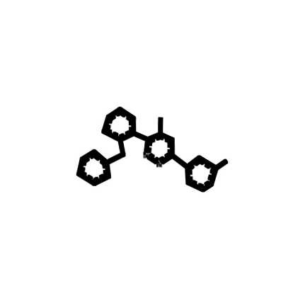 Cc1cccc(-c2cc(C)c(-c3ccccc3Cc3ccccc3)nn2)c1